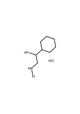 CCCC(CNCC)C1CCCCC1.Cl